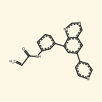 C=CC(=O)Nc1cccc(-c2cc(-c3ccncc3)cc3cncnc23)c1